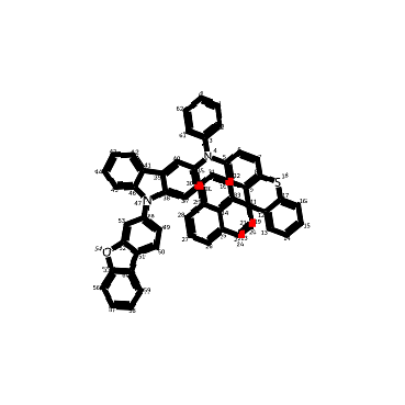 c1ccc(N(c2ccc3c(c2)C2(c4ccccc4S3)c3ccccc3-c3cccc4cccc2c34)c2ccc3c(c2)c2ccccc2n3-c2ccc3c(c2)oc2ccccc23)cc1